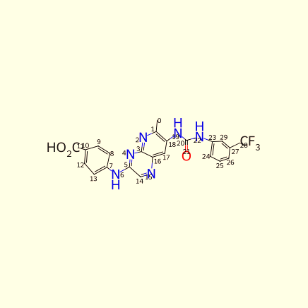 Cc1nc2nc(Nc3ccc(C(=O)O)cc3)cnc2cc1NC(=O)Nc1cccc(C(F)(F)F)c1